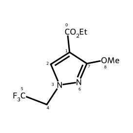 CCOC(=O)c1cn(CC(F)(F)F)nc1OC